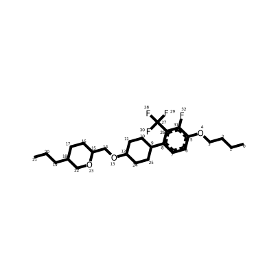 CCCCOc1ccc(C2CCC(OCC3CCC(CCC)CO3)CC2)c(C(F)(F)F)c1F